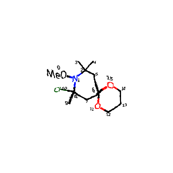 CON1C(C)(C)CC2(CC1(C)Cl)OCCCO2